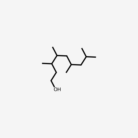 CC(C)CC(C)CC(C)C(C)CCO